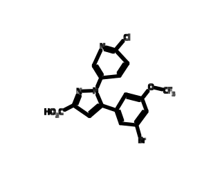 O=C(O)c1cc(-c2cc(Br)cc(OC(F)(F)F)c2)n(-c2ccc(Cl)nc2)n1